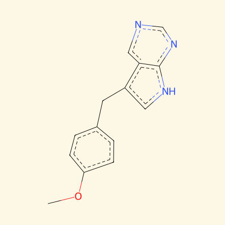 COc1ccc(Cc2c[nH]c3ncncc23)cc1